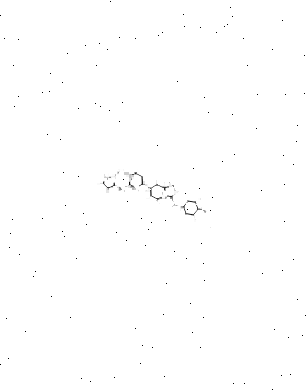 Cc1cc(Cc2nnc3cc(-c4ccnc(Nc5ccnn5C)n4)ccn23)ccc1F